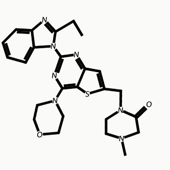 CCc1nc2ccccc2n1-c1nc(N2CCOCC2)c2sc(CN3CCN(C)CC3=O)cc2n1